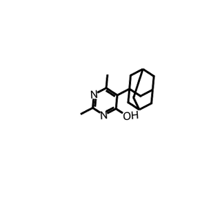 Cc1nc(C)c(C23CC4CC(CC(C4)C2)C3)c(O)n1